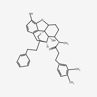 Cc1ccc(CCC(=O)N(C)C2CCC3Oc4c(O)ccc5c4[C@@]34CCN(CCc3ccccc3)[C@H](C5)[C@]24O)cc1C